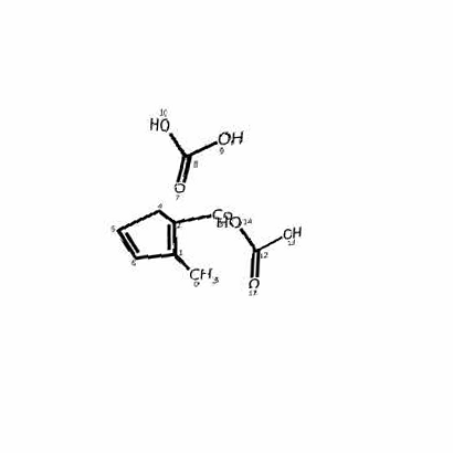 CC1=[C]([Co])CC=C1.O=C(O)O.O=C(O)O